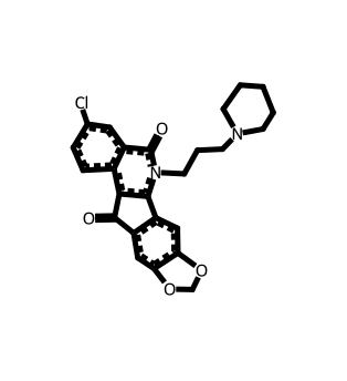 O=C1c2cc3c(cc2-c2c1c1ccc(Cl)cc1c(=O)n2CCCN1CCCCC1)OCO3